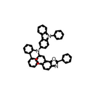 c1ccc(-c2nc3ccc4ccc(N(c5ccc6c(c5)c5ccccc5n6-c5ccccc5)c5ccccc5-c5ccccc5)cc4c3o2)cc1